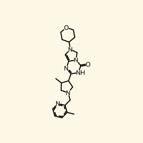 Cc1cccnc1CN1CC(C)C(C2=NC3=CN(C4CCOCC4)CN3C(=O)N2)C1